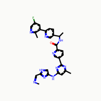 C/N=C\c1nc(Nc2cc(C)nc(-c3ccc(C(=O)NC(C)c4ccc(-c5cc(F)cnc5C)nc4)nc3)n2)c[nH]1